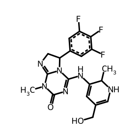 CC1NC=C(CO)C=C1NC1=NC(=O)N(C)C2=NCC(c3cc(F)c(F)c(F)c3)N12